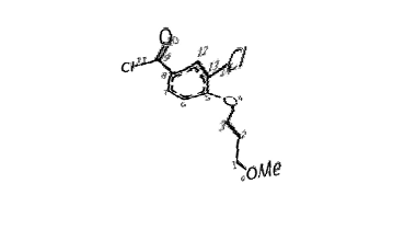 COCCCOc1ccc(C(=O)Cl)cc1Cl